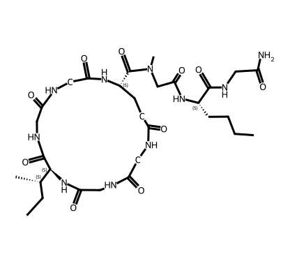 CCCC[C@H](NC(=O)CN(C)C(=O)[C@@H]1CCC(=O)NCC(=O)NCC(=O)N[C@@H]([C@@H](C)CC)C(=O)NCC(=O)NCC(=O)N1)C(=O)NCC(N)=O